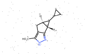 O=C(O)c1[nH]nc2c1C[C@H]1C(C3CC3)[C@H]21